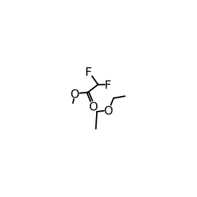 CCOCC.COC(=O)C(F)F